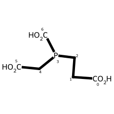 O=C(O)CCP(CC(=O)O)C(=O)O